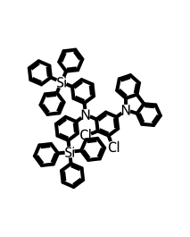 Clc1cc(-n2c3ccccc3c3ccccc32)cc(N(c2cccc([Si](c3ccccc3)(c3ccccc3)c3ccccc3)c2)c2cccc([Si](c3ccccc3)(c3ccccc3)c3ccccc3)c2)c1Cl